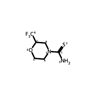 NC(=S)N1CCOC(C(F)(F)F)C1